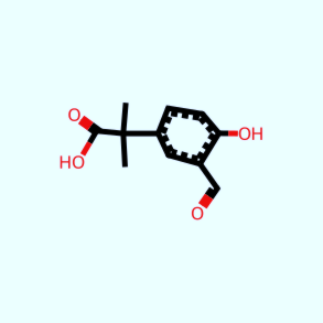 CC(C)(C(=O)O)c1ccc(O)c(C=O)c1